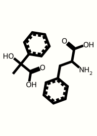 CC(O)(C(=O)O)c1ccccc1.NC(Cc1ccccc1)C(=O)O